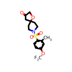 Cc1cc(OC(F)(F)F)ccc1S(=O)(=O)N1CCC2(CC1)CC(=O)CO2